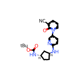 CC(C)(C)OC(=O)N[C@H]1CC[C@H](Nc2ccc(-n3cccc(C#N)c3=O)cn2)C1